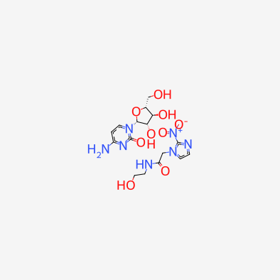 Nc1ccn([C@@H]2O[C@H](CO)[C@@H](O)[C@@H]2O)c(=O)n1.O=C(Cn1ccnc1[N+](=O)[O-])NCCO